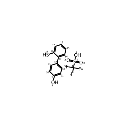 O=S(=O)(O)C(F)(F)F.Oc1ccc(-c2ccccc2S)cc1